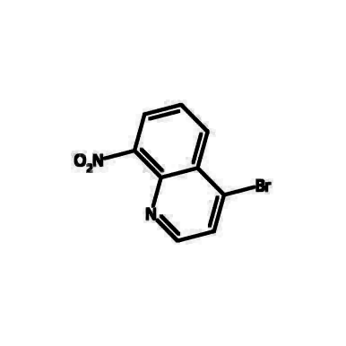 O=[N+]([O-])c1cccc2c(Br)ccnc12